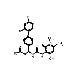 Cc1cc(O)c(NC(=O)NC(CC(=O)O)c2ccc(-c3ccc(F)cc3F)cc2)c(=O)n1C